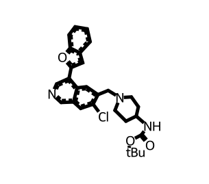 CC(C)(C)OC(=O)NC1CCN(Cc2cc3c(-c4cc5ccccc5o4)cncc3cc2Cl)CC1